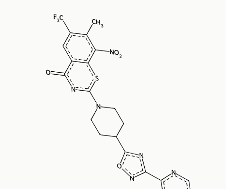 Cc1c(C(F)(F)F)cc2c(=O)nc(N3CCC(c4nc(-c5ccccn5)no4)CC3)sc2c1[N+](=O)[O-]